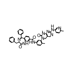 Cc1ccc(Nc2ncc3c(n2)N(C)C(=O)N(c2cc(NC(=O)c4ccc5c(c4)NC(=O)C(Cc4ccccc4)N=C5c4ccccc4)ccc2C)C3)cn1